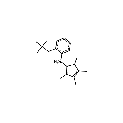 CC1=C(C)C(C)C([SiH2]c2ccccc2CC(C)(C)C)=C1C